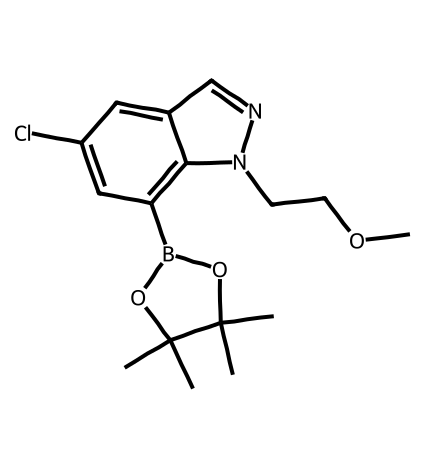 COCCn1ncc2cc(Cl)cc(B3OC(C)(C)C(C)(C)O3)c21